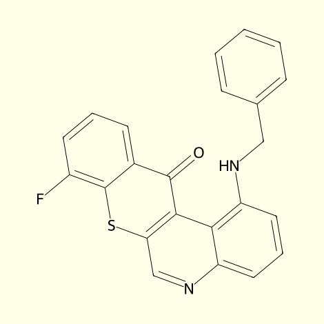 O=c1c2cccc(F)c2sc2cnc3cccc(NCc4ccccc4)c3c12